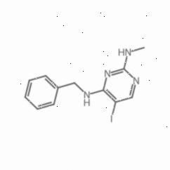 CNc1ncc(I)c(NCc2ccccc2)n1